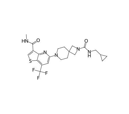 CNC(=O)c1csc2c(C(F)(F)F)cc(N3CCC4(CC3)CN(C(=O)NCC3CC3)C4)nc12